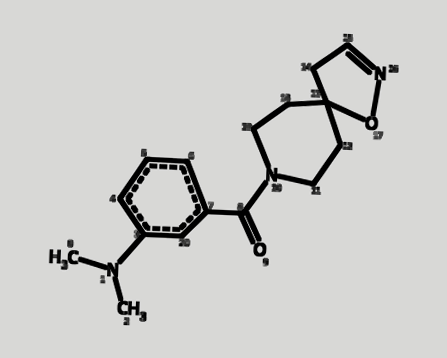 CN(C)c1cccc(C(=O)N2CCC3(CC=NO3)CC2)c1